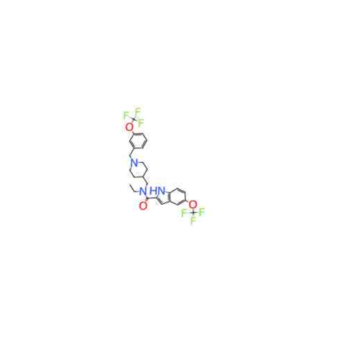 CCN(CC1CCN(Cc2cccc(OC(F)(F)F)c2)CC1)C(=O)c1cc2cc(OC(F)(F)F)ccc2[nH]1